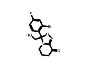 O=C1CCCN2C1=NOC2(CO)c1ccc(F)cc1Br